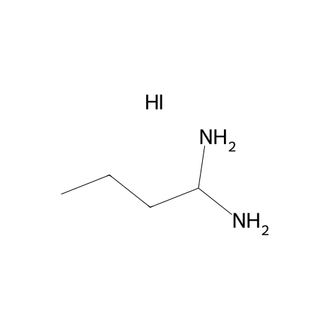 CCCC(N)N.I